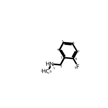 [CH]NCc1ccccc1F